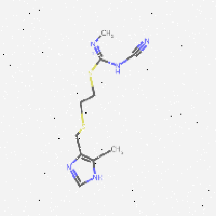 C/N=C(\NC#N)SCCSCc1nc[nH]c1C